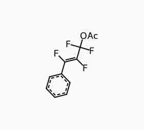 CC(=O)OC(F)(F)C(F)=C(F)c1ccccc1